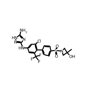 CC1(O)CN(S(=O)(=O)c2ccc(-c3c(Cl)cc(Nc4n[nH]c(N)n4)cc3C(F)(F)F)cc2)C1